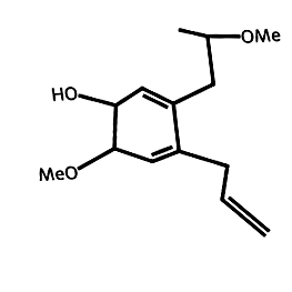 C=CCC1=CC(OC)C(O)C=C1CC(C)OC